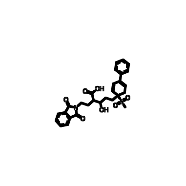 CS(=O)(=O)C1(CCC(O)C(CCN2C(=O)c3ccccc3C2=O)C(=O)O)C=CC(c2ccccc2)=CC1